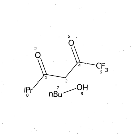 CC(C)C(=O)CC(=O)C(F)(F)F.CCCCO